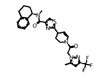 Cc1cc(C(F)(F)F)nn1CC(=O)N1C=CC(c2nc(C(=O)N(C)[C@@H]3CCCc4ccccc43)cs2)CC1